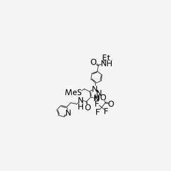 CCNC(=O)c1ccc(-n2nnc(C(=O)NCCc3ccccn3)c2CSC)cc1.O=C(O)C(F)(F)F